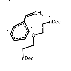 C=Cc1ccccc1.CCCCCCCCCCCCOCCCCCCCCCCCC